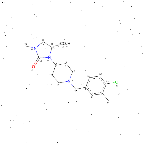 Cc1cc(CN2CCC(N3C(=O)N(C)C[C@@H]3C(=O)O)CC2)ccc1Cl